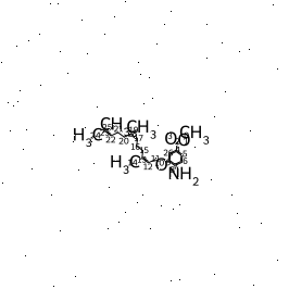 COC(=O)c1ccc(N)c(OCC=C(C)CCC=C(C)CCC=C(C)C)c1